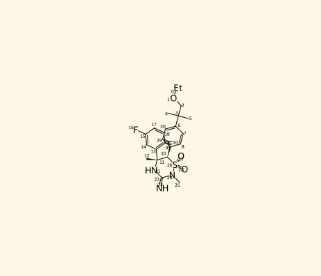 CCOCC(C)(C)c1ccc([C@@H]2[C@@](C)(c3cc(F)ccc3F)NC(=N)N(C)S2(=O)=O)cc1